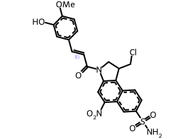 COc1ccc(/C=C/C(=O)N2CC(CCl)c3c2cc([N+](=O)[O-])c2cc(S(N)(=O)=O)ccc32)cc1O